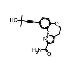 CC(C)(O)C#Cc1ccc2c(c1)-n1nc(C(N)=O)cc1CCO2